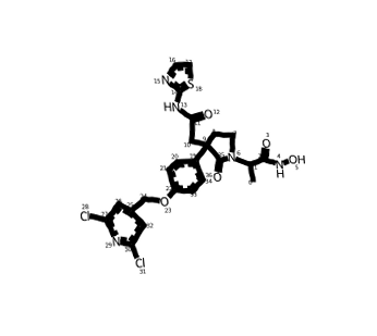 CC(C(=O)NO)N1CCC(CC(=O)Nc2nccs2)(c2ccc(OCc3cc(Cl)nc(Cl)c3)cc2)C1=O